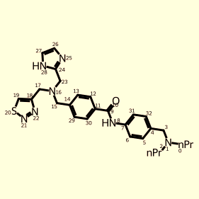 CCCN(CCC)Cc1ccc(NC(=O)c2ccc(CN(Cc3csnn3)Cc3ncc[nH]3)cc2)cc1